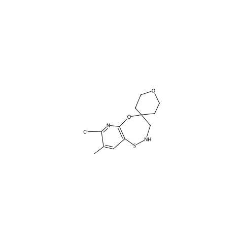 Cc1cc2c(nc1Cl)OC1(CCOCC1)CNS2